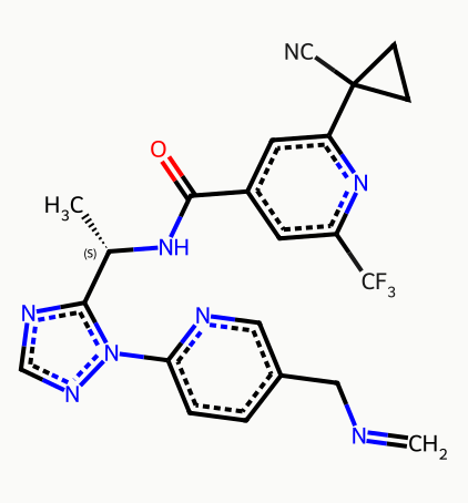 C=NCc1ccc(-n2ncnc2[C@H](C)NC(=O)c2cc(C(F)(F)F)nc(C3(C#N)CC3)c2)nc1